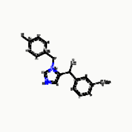 [CH2]CC(c1cccc(OC)c1)c1cncn1Cc1ccc(C)cc1